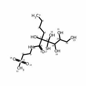 CCCCC(O)(C(=O)NCCS(C)(=O)=O)C(O)(S)C(O)C(O)CO